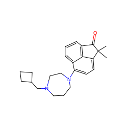 CC1(C)C(=O)c2cccc3c(N4CCCN(CC5CCC5)CC4)ccc1c23